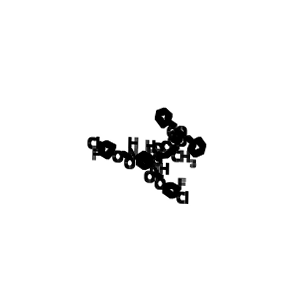 CC(C)(COP(=O)(OCc1ccccc1)OCc1ccccc1)CC(=O)O[C@H]1CC2(NC(=O)COc3ccc(Cl)c(F)c3)CCC1(NC(=O)COc1ccc(Cl)c(F)c1)CC2